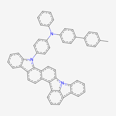 Cc1ccc(-c2ccc(N(c3ccccc3)c3ccc(-n4c5ccccc5c5ccc6c(ccc7c6c6cccc8c9ccccc9n7c86)c54)cc3)cc2)cc1